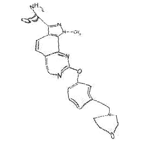 Cn1nc(C(N)=O)c2ccc3cnc(Oc4cccc(CN5CCOCC5)c4)nc3c21